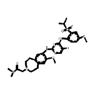 COc1ccc(Nc2nc(Nc3cc4c(cc3OC)CCN(CC(=O)N(C)C)CC4)ncc2Cl)c(S(=O)(=O)C(C)C)c1